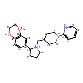 c1ccc(N2CCC(CN3CCCC3c3ccc4c(c3)OCCO4)CC2)nc1